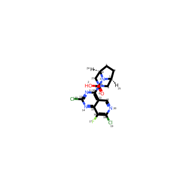 O=C(O)N1[C@@H]2CC[C@H]1CN(c1nc(Cl)nc3c(F)c(Cl)ncc13)C2